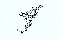 Cc1c(N(C(=O)c2cc(-c3cc4c(cc3C(=O)N3Cc5ccccc5C[C@H]3CN3CCCCC3)CN(C(=O)Cc3ccc(OCCN(C)CCF)cc3F)CC4)n(C)c2C)c2ccc(O)cc2)cc(C#N)n1C